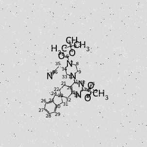 CC(C)(C)OC(=O)N1CCN(c2nc(S(C)(=O)=O)nc3c2CCC2(Cc4ccccc4C2)C3)C[C@@H]1CC#N